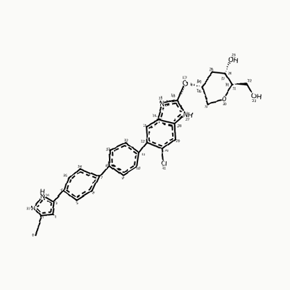 Cc1cc(-c2ccc(-c3ccc(-c4cc5nc(O[C@H]6CO[C@H](CO)[C@@H](O)C6)[nH]c5cc4Cl)cc3)cc2)[nH]n1